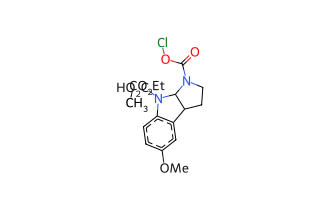 CCOC(C)=O.COc1ccc2c(c1)C1CCN(C(=O)OCl)C1N2C(=O)O